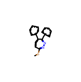 CSC1=NN=C(c2ccccc2)C(c2ccccc2)=C=C1